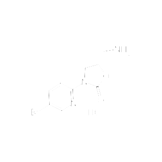 Cl.NC[C@H]1CN(c2ccc(Br)cn2)C(=O)O1